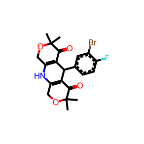 CC1(C)OCC2=C(C1=O)C(c1ccc(F)c(Br)c1)C1=C(COC(C)(C)C1=O)N2